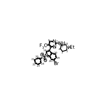 CCN1CCC[C@H](Nc2ncc(C(F)(F)F)c(-c3cn(S(=O)(=O)c4ccccc4)c4cc(Br)ccc34)n2)C1